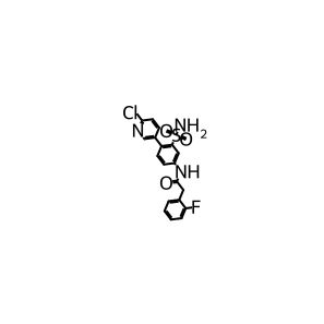 NS(=O)(=O)c1cc(NC(=O)Cc2ccccc2F)ccc1-c1ccc(Cl)nc1